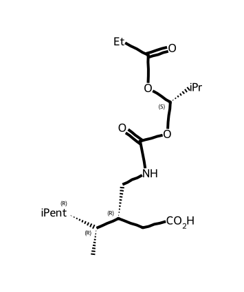 CCC[C@@H](C)[C@@H](C)[C@H](CNC(=O)O[C@H](OC(=O)CC)C(C)C)CC(=O)O